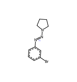 Brc1cccc(/N=N/N2CCCC2)c1